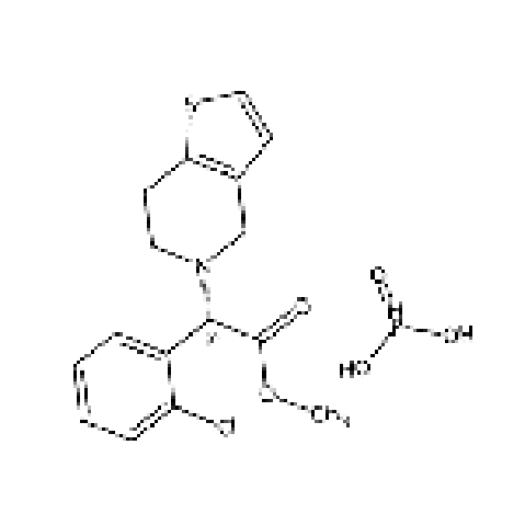 COC(=O)[C@H](c1ccccc1Cl)N1CCc2sccc2C1.O=[PH](O)O